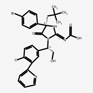 CC(C)(C)C[C@]1(c2ccc(Br)cc2)N/C(=N\C(=O)O)N([C@H](CO)c2ccc(Cl)c(-c3ccccn3)c2)C1=O